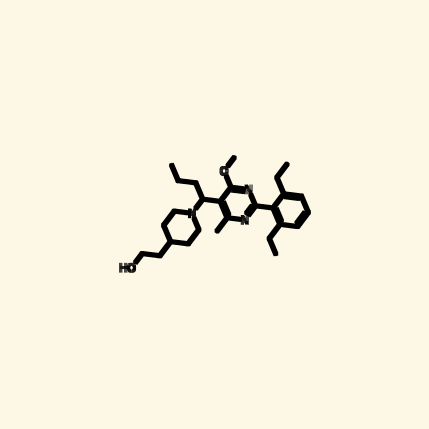 CCCC(c1c(C)nc(-c2c(CC)cccc2CC)nc1OC)N1CCC(CCO)CC1